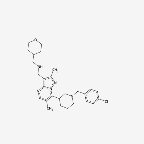 Cc1cnc2c(CNCC3CCOCC3)c(C)nn2c1C1CCCN(Cc2ccc(Cl)cc2)C1